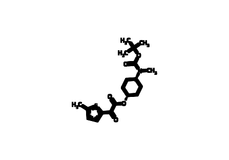 Cc1ccc(C(=O)C(=O)O[C@H]2CC[C@H](N(C)C(=O)OC(C)(C)C)CC2)s1